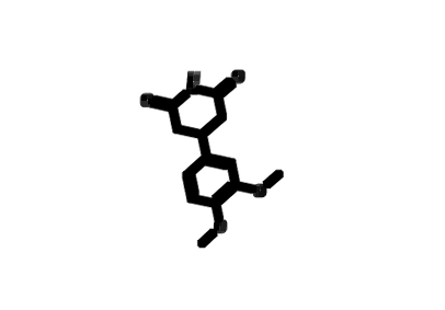 COc1ccc(C2CC(=O)NC(=O)C2)cc1OC